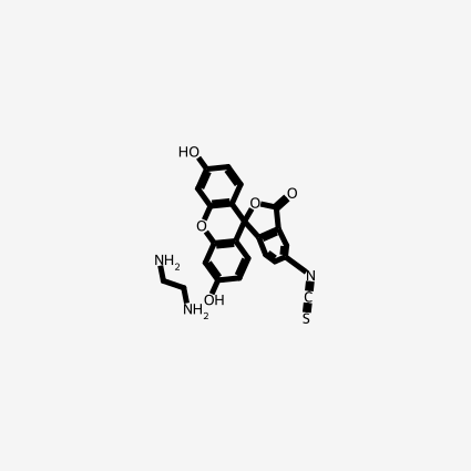 NCCN.O=C1OC2(c3ccc(O)cc3Oc3cc(O)ccc32)c2ccc(N=C=S)cc21